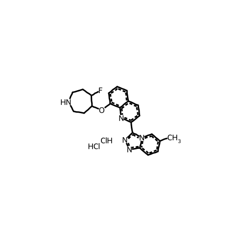 Cc1ccc2nnc(-c3ccc4cccc(OC5CCNCCC5F)c4n3)n2c1.Cl.Cl